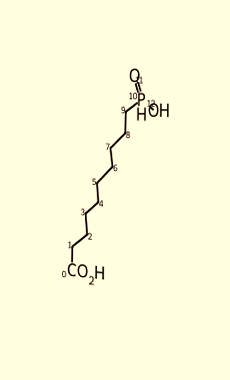 O=C(O)CCCCCCCCC[PH](=O)O